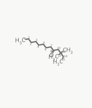 CCCCCCCCC(=O)CC(C)(C)CC